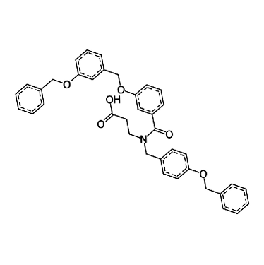 O=C(O)CCN(Cc1ccc(OCc2ccccc2)cc1)C(=O)c1cccc(OCc2cccc(OCc3ccccc3)c2)c1